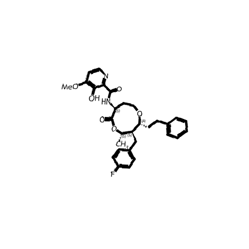 COc1ccnc(C(=O)N[C@H]2CCO[C@H](CCc3ccccc3)[C@@H](Cc3ccc(F)cc3)[C@H](C)OC2=O)c1O